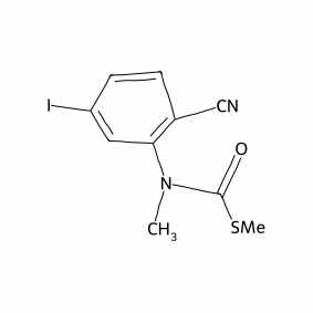 CSC(=O)N(C)c1cc(I)ccc1C#N